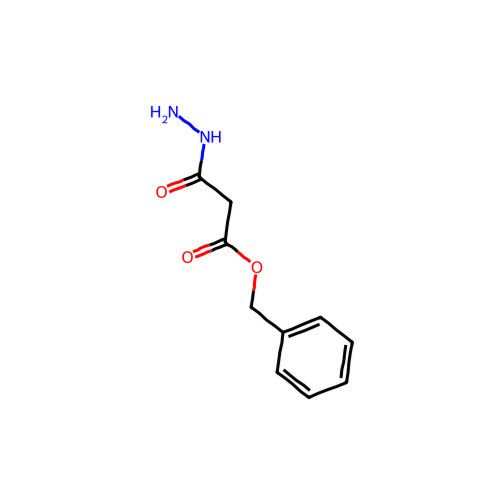 NNC(=O)CC(=O)OCc1ccccc1